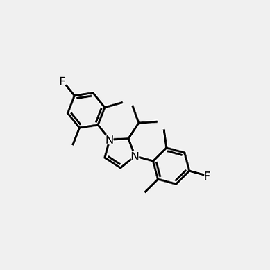 Cc1cc(F)cc(C)c1N1C=CN(c2c(C)cc(F)cc2C)C1C(C)C